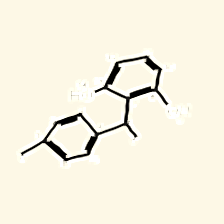 Cc1ccc(C(C)c2c(O)cccc2O)cc1